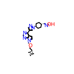 C[Si](C)(C)CCOCn1ccc2c(-c3cnn([C@H]4CC[C@@H](C=NO)CC4)c3)ncnc21